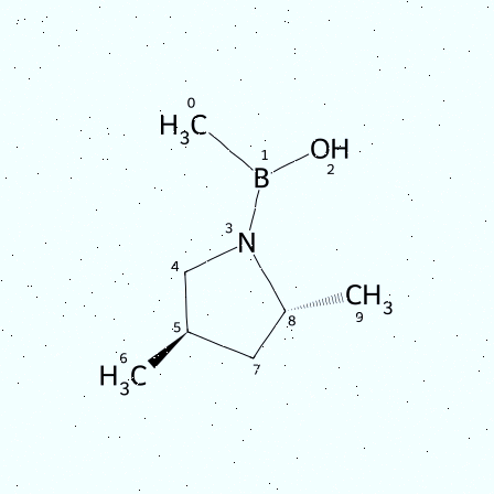 CB(O)N1C[C@H](C)C[C@H]1C